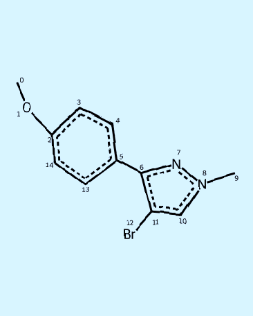 COc1ccc(-c2nn(C)cc2Br)cc1